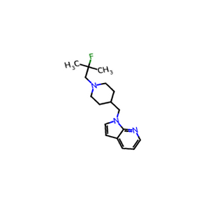 CC(C)(F)CN1CCC(Cn2ccc3cccnc32)CC1